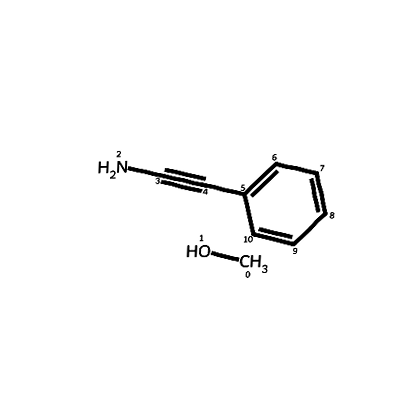 CO.NC#Cc1ccccc1